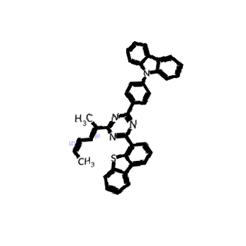 C/C=C\C=C(/C)c1nc(-c2ccc(-n3c4ccccc4c4ccccc43)cc2)nc(-c2cccc3c2sc2ccccc23)n1